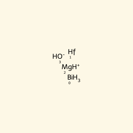 [BiH3].[Hf].[MgH+].[OH-]